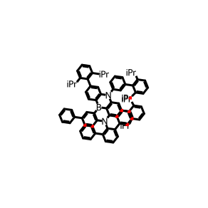 CC(C)c1cccc(C(C)C)c1-c1cccc(N2c3cc(-c4c(C(C)C)cccc4C(C)C)ccc3B3c4cc(-c5ccccc5)ccc4N(c4c(-c5ccccc5)cccc4-c4ccccc4)c4cc(-c5c(C(C)C)cccc5C(C)C)cc2c43)c1